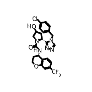 O=C(N[C@H]1CCOc2cc(C(F)(F)F)ccc21)N1CC(O)C[C@@H]1c1nncn1Cc1ccc(Cl)cc1